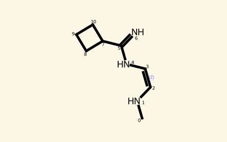 CN/C=C\NC(=N)C1CCC1